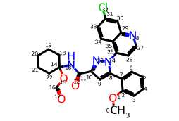 COc1ccccc1-c1cc(C(=O)NC2(OC=O)CCCCC2)nn1-c1ccnc2cc(Cl)ccc12